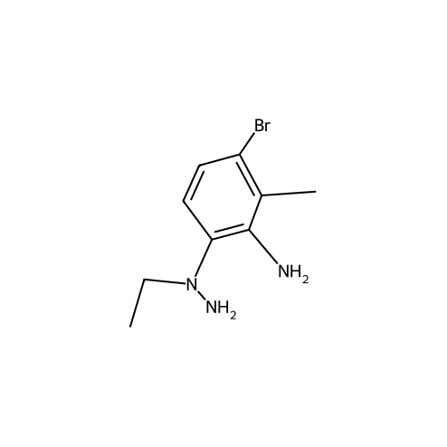 CCN(N)c1ccc(Br)c(C)c1N